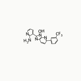 Nc1ncccc1-c1nc2ccc(-c3cccc(C(F)(F)F)c3)nc2n1O